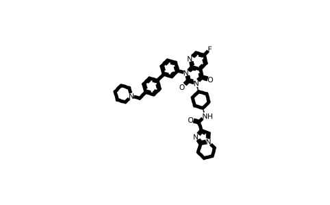 O=C(N[C@H]1CC[C@@H](n2c(=O)c3cc(F)cnc3n(-c3cccc(-c4ccc(CN5CCCCC5)cc4)c3)c2=O)CC1)c1cn2c(n1)CCCC2